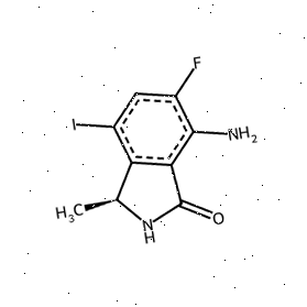 C[C@@H]1NC(=O)c2c(N)c(F)cc(I)c21